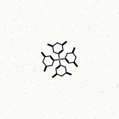 C=C1C=C([B-](C2=CC(=C)CC(=C)C2)(C2=CC(=C)CC(=C)C2)C2=CC(=C)CC(=C)C2)CC(=C)C1